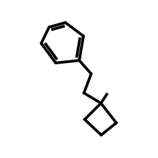 CC1(CCc2ccccc2)CCC1